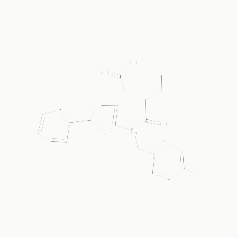 CCCC(=O)N(Cc1ccc(C)cc1)c1cc(-c2ccccc2)sc1OC(=O)O